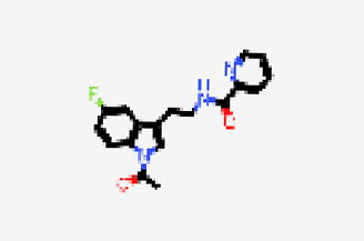 CC(=O)n1cc(CCNC(=O)c2ccccn2)c2cc(F)ccc21